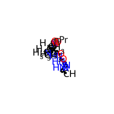 C#Cc1cccc(Nc2ncnc3ccc(NC(=O)CCNC(=O)c4ccc(C5=C6C=C/C(=[N+](/C)OS(=O)(=O)CCC)C=C6[Si](C)(C)c6cc(N(C)C)ccc65)c(C)c4)cc23)c1